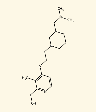 Cc1c(SCCN2CCOC(CN(C)C)C2)ccnc1CO